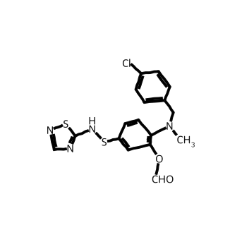 CN(Cc1ccc(Cl)cc1)c1ccc(SNc2ncns2)cc1OC=O